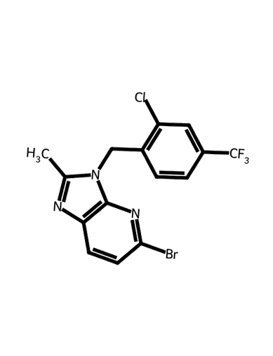 Cc1nc2ccc(Br)nc2n1Cc1ccc(C(F)(F)F)cc1Cl